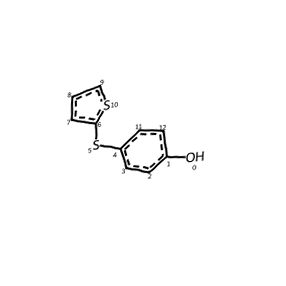 Oc1ccc(Sc2cccs2)cc1